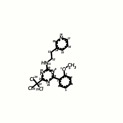 COc1ccccc1-c1nc(NCCc2cccnc2)nc(C(Cl)(Cl)Cl)n1